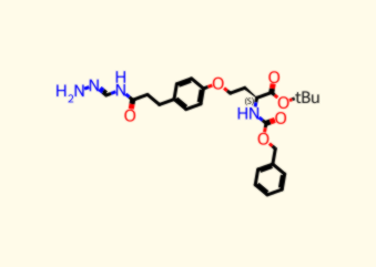 CC(C)(C)OC(=O)[C@H](CCOc1ccc(CCC(=O)NC=NN)cc1)NC(=O)OCc1ccccc1